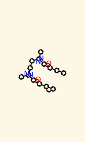 c1ccc(-c2ccc(-c3ccc4c(c3)oc3cc(-c5nc(-c6ccccc6)cc(-c6cccc(-c7ccc(-c8nc(-c9ccccc9)cc(-c9ccc%10c(c9)oc9cc(-c%11ccc%12c(ccc%13ccccc%13%12)c%11)ccc9%10)n8)cc7)c6)n5)ccc34)cc2)cc1